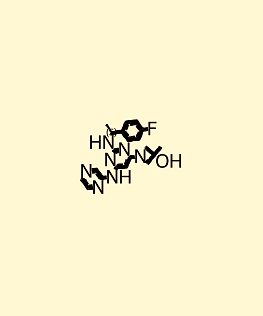 C[C@H](Nc1nc(Nc2cnccn2)cc(N2CC(C)(O)C2)n1)c1ccc(F)cc1